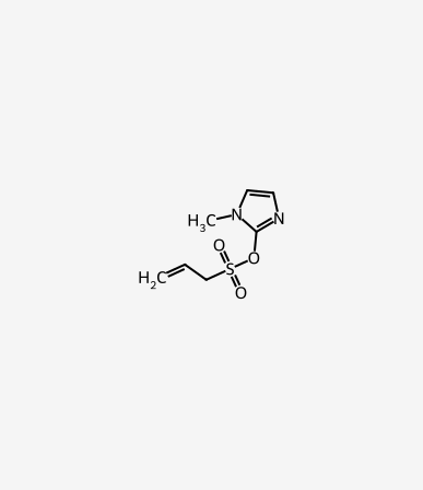 C=CCS(=O)(=O)Oc1nccn1C